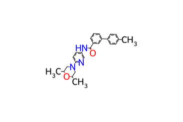 Cc1ccc(-c2cccc(C(=O)Nc3ccc(N4CC(C)OC(C)C4)nc3)c2)cc1